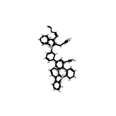 CCC/C=C\c1c(CC#N)n(C2=CC=CC(c3ccc(C4=C(n5c6c(c7ccccc75)C=CCC6)CCC=C4)c(C#N)c3)C2)c2ccccc12